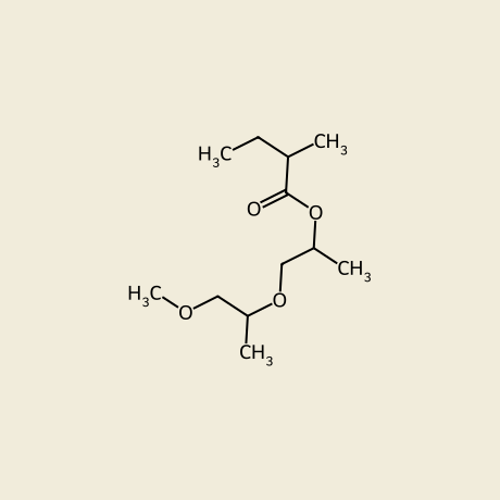 CCC(C)C(=O)OC(C)COC(C)COC